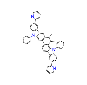 CC1c2cc3c4cc(-c5ccccn5)ccc4n(-c4ccccc4)c3cc2-c2ccc3c4cc(-c5ccccn5)ccc4n(-c4ccccc4)c3c2C1C